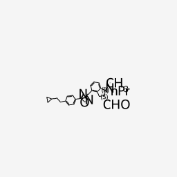 CCCN(C)[C@H]1c2cccc(-c3noc(-c4ccc(CCC5CC5)cc4)n3)c2C[C@H]1CC=O